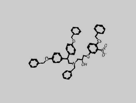 O=[N+]([O-])c1cc(OC[C@@H](O)CN(Cc2ccccc2)CC(c2ccc(OCc3ccccc3)cc2)c2ccc(OCc3ccccc3)cc2)ccc1OCc1ccccc1